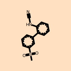 CS(=O)(=O)c1cccc(-c2ccccc2NC#N)c1